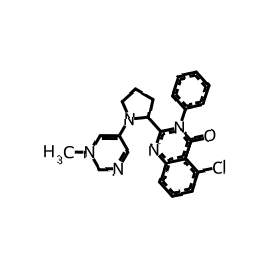 CN1C=C(N2CCCC2c2nc3cccc(Cl)c3c(=O)n2-c2ccccc2)C=NC1